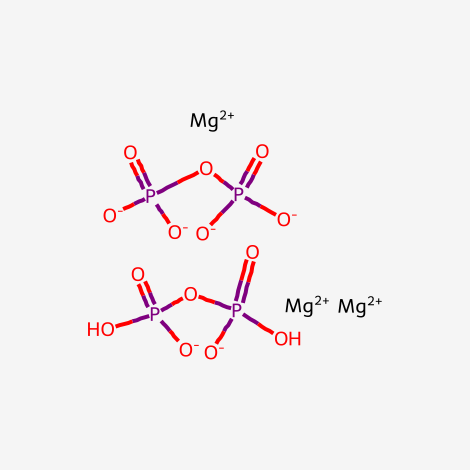 O=P([O-])(O)OP(=O)([O-])O.O=P([O-])([O-])OP(=O)([O-])[O-].[Mg+2].[Mg+2].[Mg+2]